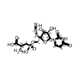 [N-]=[N+]=N[C@]1(COP(=O)(O)C[C@H](N)C(=O)O)O[C@@H](n2ccc(=O)[nH]c2=O)[C@H](O)[C@@H]1O